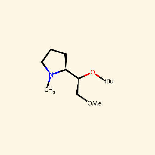 COC[C@H](OC(C)(C)C)[C@@H]1CCCN1C